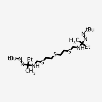 CCC(C)(N=NC(C)(C)C)NCSCCSCCSCNC(C)(CC)N=NC(C)(C)C